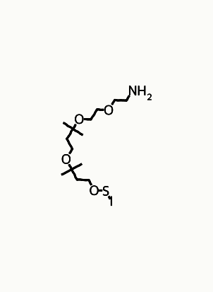 CC(C)(CCOSI)OCCC(C)(C)OCCOCCN